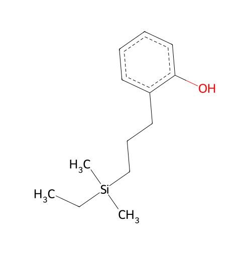 CC[Si](C)(C)CCCc1ccccc1O